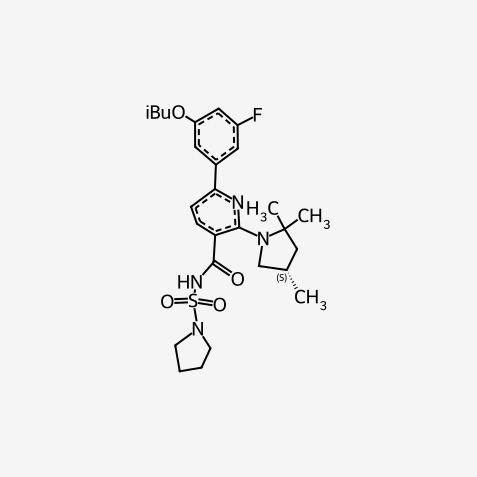 CC(C)COc1cc(F)cc(-c2ccc(C(=O)NS(=O)(=O)N3CCCC3)c(N3C[C@@H](C)CC3(C)C)n2)c1